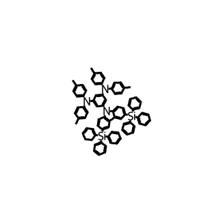 Cc1ccc(N(c2ccc(C)cc2)c2cc(N(c3ccc(C)cc3)c3ccc(C)cc3)cc(-n3c4ccc([Si](C5=CC=CCC5)(c5ccccc5)c5ccccc5)cc4c4cc([Si](c5ccccc5)(c5ccccc5)c5ccccc5)ccc43)c2)cc1